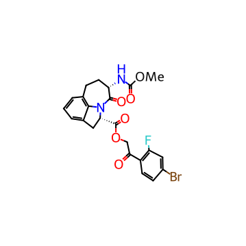 COC(=O)N[C@H]1CCc2cccc3c2N(C1=O)[C@H](C(=O)OCC(=O)c1ccc(Br)cc1F)C3